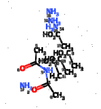 CC(=O)NC(C)=O.CC(=O)O.CC(=O)O.CC(=O)O.CC(=O)O.N.N.N.N